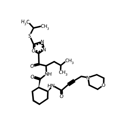 CC(C)CC(NC(=O)[C@@H]1CCCC[C@@H]1NC(=O)C#CCN1CCOCC1)C(=O)c1nnc(SC(C)C)o1